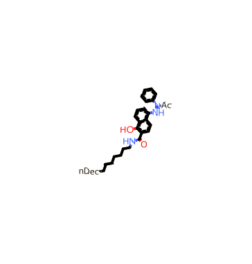 CCCCCCCCCCCCCCCCCNC(=O)c1ccc2c(NN(C(C)=O)c3ccccc3)cccc2c1O